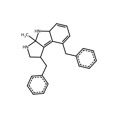 CC12NCC(Cc3ccccc3)C1=C1C(Cc3ccccc3)=CC=CC1N2